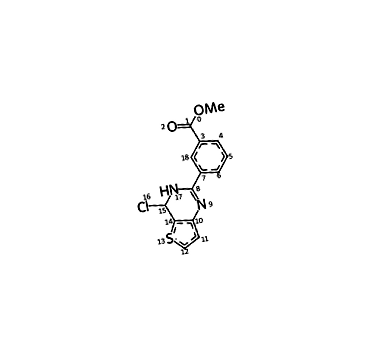 COC(=O)c1cccc(C2=Nc3ccsc3C(Cl)N2)c1